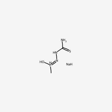 C[PH](O)=NNC(N)=S.[NaH]